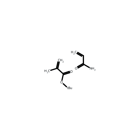 C=C(C)C(=O)OC(C)(C)C.C=CC(N)=O